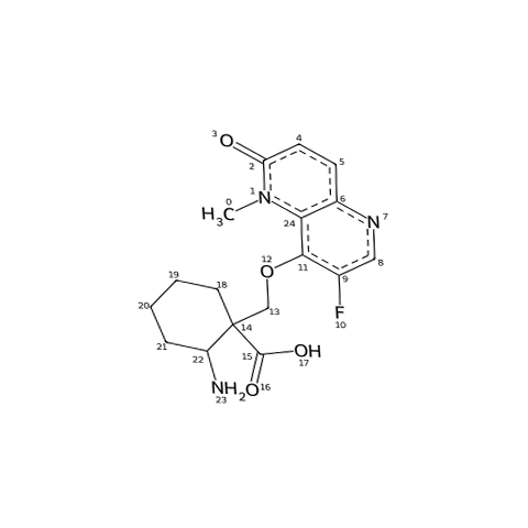 Cn1c(=O)ccc2ncc(F)c(OCC3(C(=O)O)CCCCC3N)c21